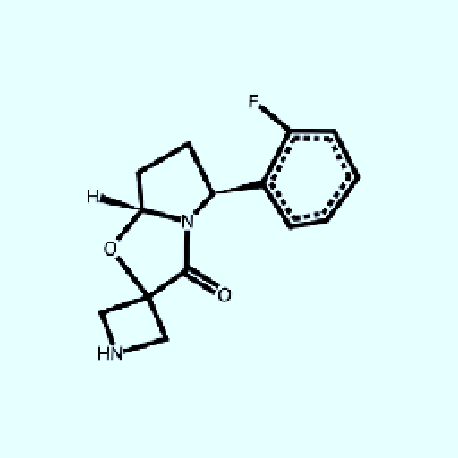 O=C1N2[C@@H](CC[C@H]2c2ccccc2F)OC12CNC2